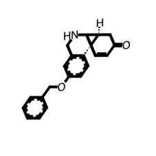 O=C1C=C[C@@]23c4ccc(OCc5ccccc5)cc4CNC2[C@H]3C1